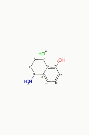 Cl.NC1CCCc2c(O)cccc21